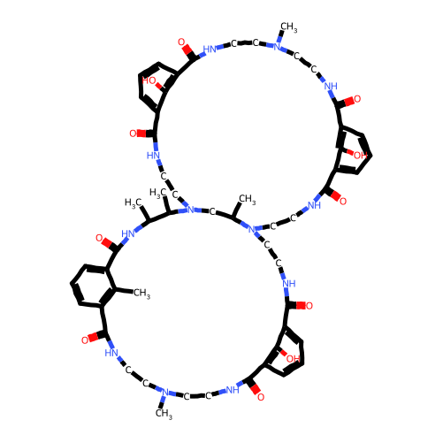 Cc1c2cccc1C(=O)NC(C)C(C)N1CCNC(=O)c3cccc(c3O)C(=O)NCCN(C)CCNC(=O)c3cccc(c3O)C(=O)NCCN(CCNC(=O)c3cccc(c3O)C(=O)NCCN(C)CCNC2=O)C(C)C1